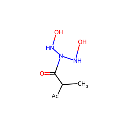 CC(=O)C(C)C(=O)N(NO)NO